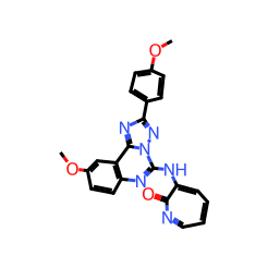 COc1ccc(-c2nc3c4cc(OC)ccc4nc(Nc4ccccnc4=O)n3n2)cc1